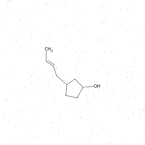 CC=CCC1CCC(O)C1